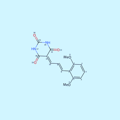 COc1cccc(OC)c1/C=C/C=C1C(=O)NC(=O)NC1=O